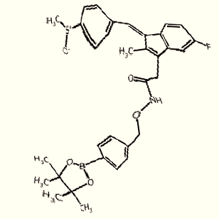 CC1=C(CC(=O)NOCc2ccc(B3OC(C)(C)C(C)(C)O3)cc2)c2cc(F)ccc2/C1=C/c1ccc([S+](C)[O-])cc1